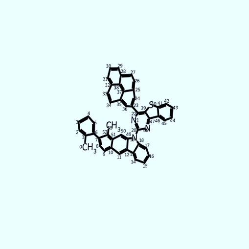 Cc1ccccc1-c1ccc2cc3c4ccccc4n(-c4nc(-c5cc6ccc7cccc8ccc(c5)c6c78)c5sc6ccccc6c5n4)c3cc2c1C